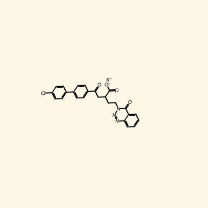 O=C(CC(CCn1nnc2ccccc2c1=O)C(=O)[O-])c1ccc(-c2ccc(Cl)cc2)cc1.[K+]